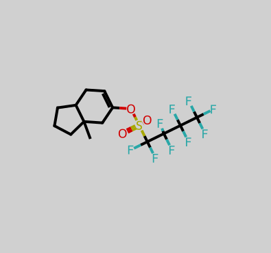 CC12CCCC1CC=C(OS(=O)(=O)C(F)(F)C(F)(F)C(F)(F)C(F)(F)F)C2